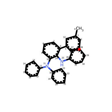 Cc1cccc(-c2cccc(N(c3ccccc3)c3ccccc3)c2Nc2ccccc2)c1